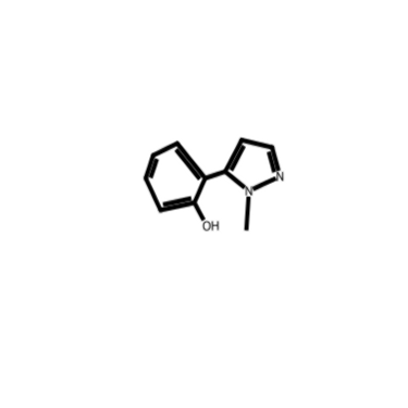 Cn1nccc1-c1ccccc1O